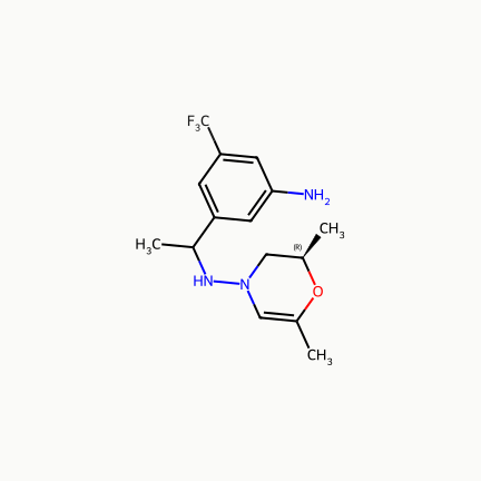 CC1=CN(NC(C)c2cc(N)cc(C(F)(F)F)c2)C[C@@H](C)O1